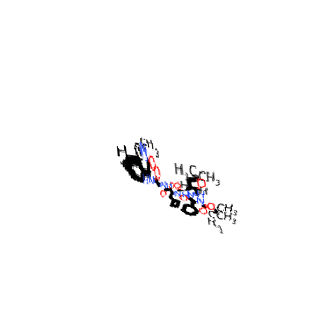 CN(C)C(=O)[C@@H](NC(=O)CNC(=O)C(=O)C(CC1CCC1)NC(=O)[C@@H]1[C@H]2CC(C)(C)O[C@H]2CN1C(=O)[C@@H](NC(=O)OC(C)(C)C)C1CCCCC1)c1ccccc1